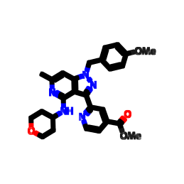 COC(=O)c1ccnc(-c2nn(Cc3ccc(OC)cc3)c3cc(C)nc(NC4CCOCC4)c23)c1